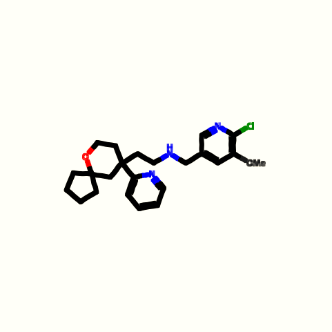 COc1cc(CNCCC2(c3ccccn3)CCOC3(CCCC3)C2)cnc1Cl